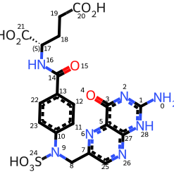 Nc1nc(=O)c2nc(CN(c3ccc(C(=O)N[C@@H](CCC(=O)O)C(=O)O)cc3)S(=O)(=O)O)cnc2[nH]1